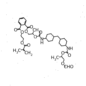 C=C(C)C(=O)OCCOC(=O)c1ccccc1C(=O)OCC(C)OC(=O)NC1CCC(CC2CCC(NC(=O)OC(C)COC=O)CC2)CC1